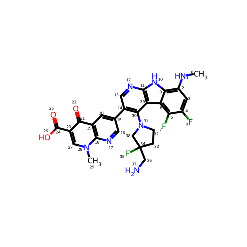 CNc1cc(F)c(F)c2c1[nH]c1ncc(-c3cnc4c(c3)c(=O)c(C(=O)O)cn4C)c(N3CCC(F)(CN)C3)c12